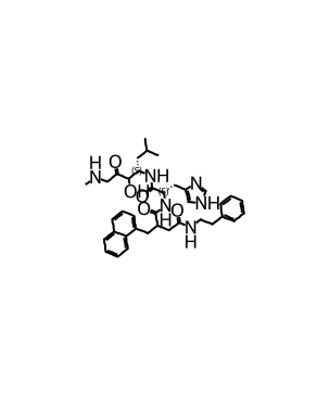 CNCC(=O)C(O)[C@H](CC(C)C)NC(=O)[C@H](Cc1c[nH]cn1)NC(=O)C(CC(=O)NCCc1ccccc1)Cc1cccc2ccccc12